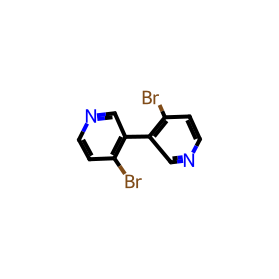 Brc1ccncc1-c1cnccc1Br